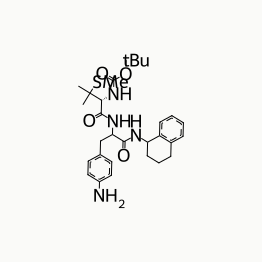 CSC(C)(C)[C@H](NC(=O)OC(C)(C)C)C(=O)NC(Cc1ccc(N)cc1)C(=O)NC1CCCc2ccccc21